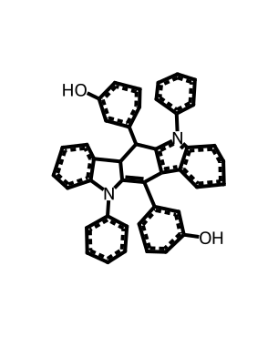 Oc1cccc(C2=C3C(c4ccccc4N3c3ccccc3)C(c3cccc(O)c3)c3c2c2ccccc2n3-c2ccccc2)c1